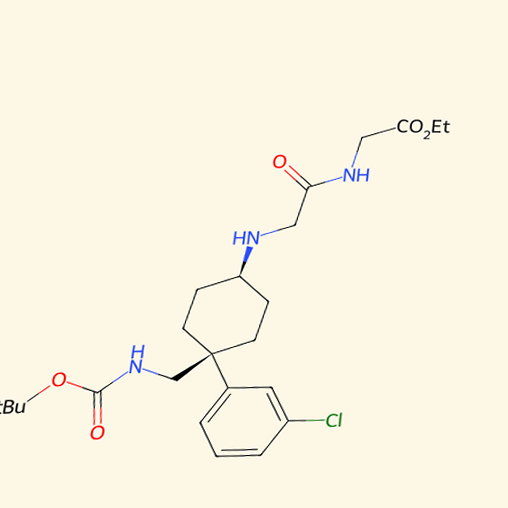 CCOC(=O)CNC(=O)CN[C@H]1CC[C@](CNC(=O)OC(C)(C)C)(c2cccc(Cl)c2)CC1